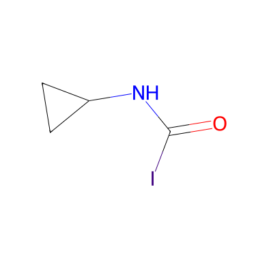 O=C(I)NC1CC1